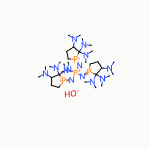 CN(C)C1CC[P](=N[P+](N=[P]2CCC(N(C)C)C2(N(C)C)N(C)C)(N=[P]2CCC(N(C)C)C2(N(C)C)N(C)C)N(C)C)C1(N(C)C)N(C)C.[OH-]